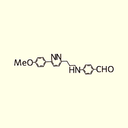 COc1ccc(-c2ccc(CCCNc3ccc(C=O)cc3)nn2)cc1